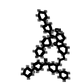 CC1C=Cc2c(oc3cc(CCCc4cc(Nc5ccc(-c6ccccc6)cc5)ccc4-c4ccccc4)ccc23)C1N(c1ccc(-c2ccccc2)cc1)c1ccc(-c2ccccc2)cc1